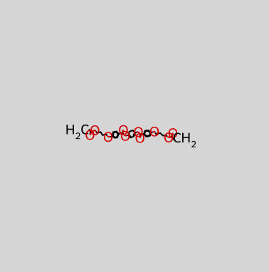 C=CC(=O)OCCCCOc1ccc(C(=O)OC2=CC=C(OC(=O)c3ccc(OCCCCOC(=O)C=C)cc3)CC2)cc1